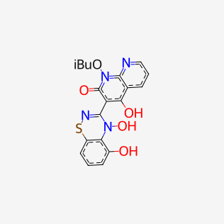 CC(C)COn1c(=O)c(C2=NSc3cccc(O)c3N2O)c(O)c2cccnc21